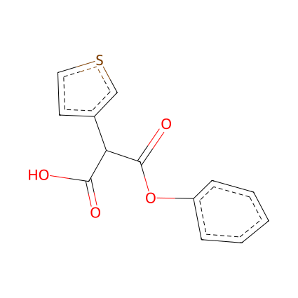 O=C(O)C(C(=O)Oc1ccccc1)c1ccsc1